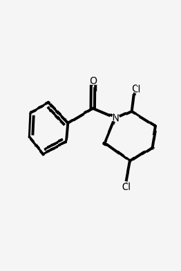 O=C(c1ccccc1)N1CC(Cl)CCC1Cl